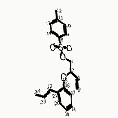 C=CC(COS(=O)(=O)c1ccc(C)cc1)Oc1ccccc1C=CC